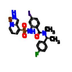 CC(c1ccc(F)cc1)N(C)C(=O)c1ccc(I)cc1NS(=O)(=O)C1=CC=CN2SNC=C12